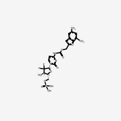 Cc1cc(C)c2oc(COC(=O)Nc3ccn([C@@H]4O[C@H](COP(=O)(O)O)[C@@H](O)C4(F)F)c(=O)n3)cc2c1